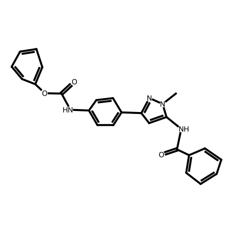 Cn1nc(-c2ccc(NC(=O)Oc3ccccc3)cc2)cc1NC(=O)c1ccccc1